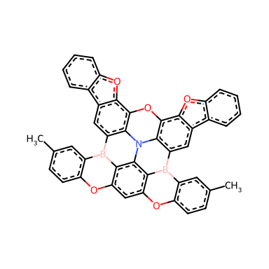 Cc1ccc2c(c1)B1c3cc4c(oc5ccccc54)c4c3N3c5c1c(cc1c5B(c5cc(C)ccc5O1)c1cc5c(oc6ccccc65)c(c13)O4)O2